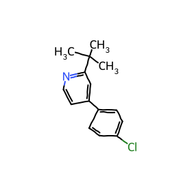 CC(C)(C)c1cc(-c2ccc(Cl)cc2)ccn1